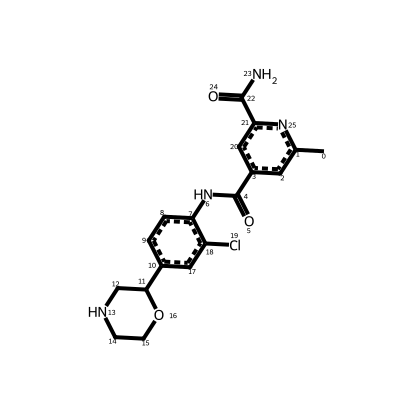 Cc1cc(C(=O)Nc2ccc(C3CNCCO3)cc2Cl)cc(C(N)=O)n1